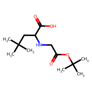 CC(C)(C)CC(NCC(=O)OC(C)(C)C)C(=O)O